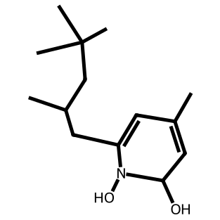 CC1=CC(O)N(O)C(CC(C)CC(C)(C)C)=C1